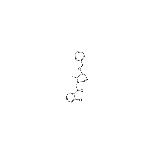 CC1C(OCc2ccccc2)=CC=CN1CC(=O)c1ccccc1Cl